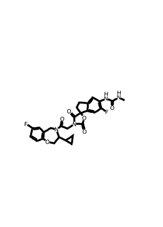 CNC(=O)Nc1cc2c(cc1F)C1(CC2)OC(=O)N(CC(=O)N2Cc3cc(F)ccc3OCC2C2CC2)C1=O